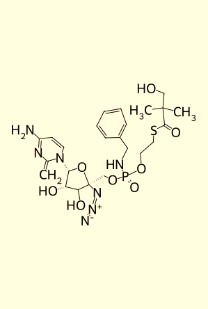 C=C1N=C(N)C=CN1[C@@H]1O[C@@](COP(=O)(NCc2ccccc2)OCCSC(=O)C(C)(C)CO)(N=[N+]=[N-])C(O)[C@@H]1O